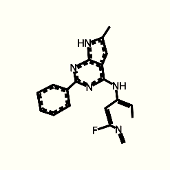 C=N/C(F)=C\C(=C/C)Nc1nc(-c2ccccc2)nc2[nH]c(C)cc12